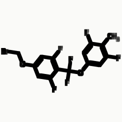 Cc1c(F)cc(OC(F)(F)c2c(F)cc(OCBr)cc2F)cc1F